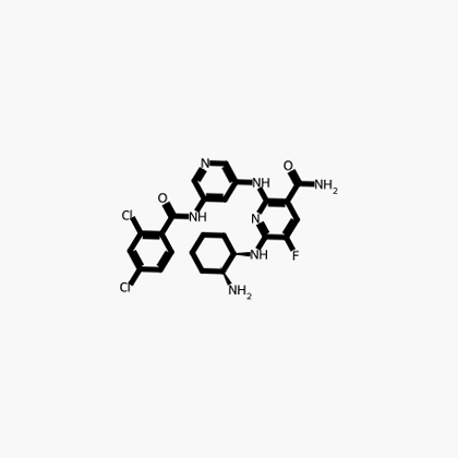 NC(=O)c1cc(F)c(N[C@@H]2CCCC[C@@H]2N)nc1Nc1cncc(NC(=O)c2ccc(Cl)cc2Cl)c1